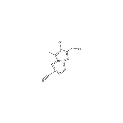 Cc1c2cc(C#N)ccc2nc(CCl)[n+]1[O-]